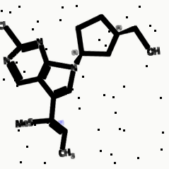 C/C=C(\SC)c1cn([C@H]2CC[C@@H](CO)C2)c2nc(Cl)ncc12